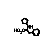 O=C(O)C(Cc1ccccc1)NC1CCCC1